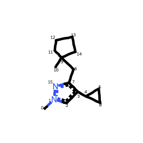 Cn1cc(C2CC2)c(CC2(C)CCCC2)n1